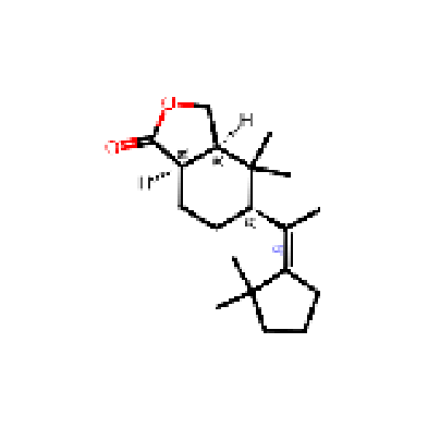 C/C(=C1\CCCC1(C)C)[C@H]1CC[C@H]2C(=O)OC[C@H]2C1(C)C